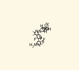 Cc1nc(N)cc(-c2ncc3c(N4C[C@H]5C[C@@H](O)[C@@H](C4)N5C(=O)OC(C)(C)C)nc(C)c(C)c3c2F)c1C(F)(F)F